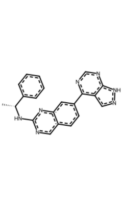 C[C@@H](Nc1ncc2ccc(-c3ncnc4[nH]ncc34)cc2n1)c1ccccc1